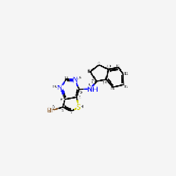 Brc1csc2c(NC3CCc4ccccc43)ncnc12